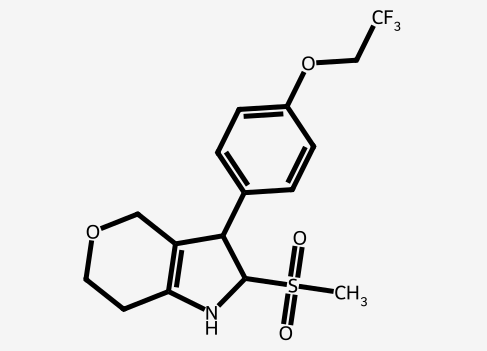 CS(=O)(=O)C1NC2=C(COCC2)C1c1ccc(OCC(F)(F)F)cc1